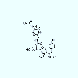 CC(=O)N[C@@H](Cc1ccc(O)cc1)C(=O)N1CCC[C@@H]1C(=O)N1C[C@@H](O)C[C@H]1C(=O)NCC(=O)N[C@H](C)C(=O)NCC(N)=O